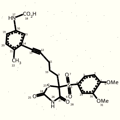 COc1ccc(S(=O)(=O)C2(CCCC#Cc3cc(NC(=O)O)ccc3C)SC(=O)NC2=O)cc1OC